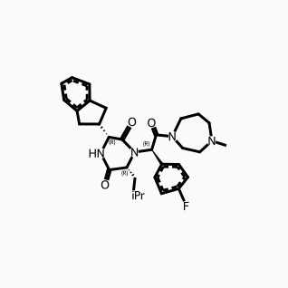 CC(C)C[C@@H]1C(=O)N[C@H](C2Cc3ccccc3C2)C(=O)N1[C@@H](C(=O)N1CCCN(C)CC1)c1ccc(F)cc1